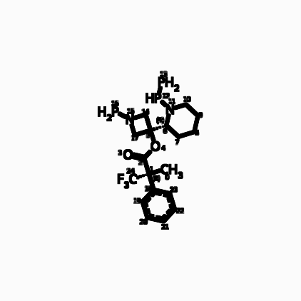 C[C@](C(=O)OC1([C@H]2CCCCN2PP)CN(P)C1)(c1ccccc1)C(F)(F)F